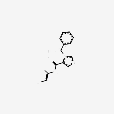 CC/C=C(\C)OC(=O)c1cncn1[C@H](C)c1ccccc1